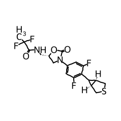 CC(F)(F)C(=O)NC[C@H]1CN(c2cc(F)c(C3[C@H]4CSC[C@@H]34)c(F)c2)C(=O)O1